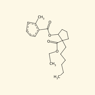 CCCCCCC1(C(=O)OCC)CCCC1OC(=O)c1ccccc1C